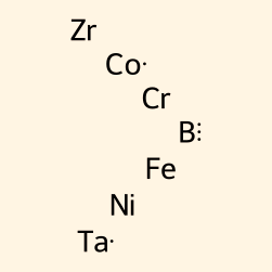 [B].[Co].[Cr].[Fe].[Ni].[Ta].[Zr]